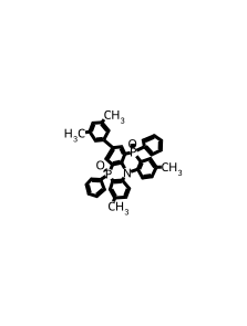 Cc1cc(C)cc(-c2cc3c4c(c2)P(=O)(c2ccccc2)c2cc(C)ccc2N4c2ccc(C)cc2P3(=O)c2ccccc2)c1